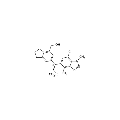 CCOC(=O)C[C@@H](c1cc(CO)c2c(c1)CCC2)c1cc(Cl)c2c(nnn2C)c1C